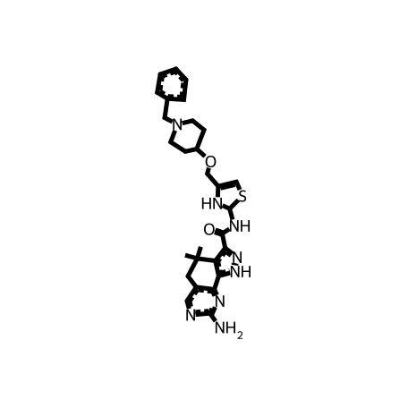 CC1(C)Cc2cnc(N)nc2-c2[nH]nc(C(=O)NC3NC(COC4CCN(Cc5ccccc5)CC4)=CS3)c21